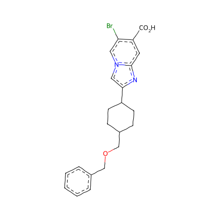 O=C(O)c1cc2nc(C3CCC(COCc4ccccc4)CC3)cn2cc1Br